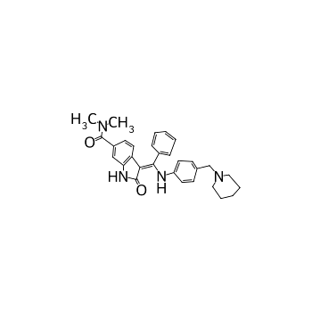 CN(C)C(=O)c1ccc2c(c1)NC(=O)/C2=C(\Nc1ccc(CN2CCCCC2)cc1)c1ccccc1